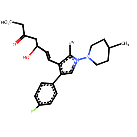 CC1CCN(n2cc(-c3ccc(F)cc3)c(C=CC(O)CC(=O)CC(=O)O)c2C(C)C)CC1